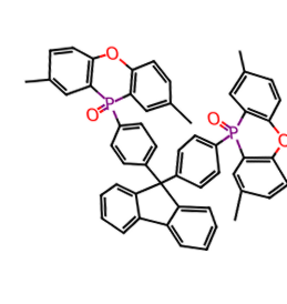 Cc1ccc2c(c1)P(=O)(c1ccc(C3(c4ccc(P5(=O)c6cc(C)ccc6Oc6ccc(C)cc65)cc4)c4ccccc4-c4ccccc43)cc1)c1cc(C)ccc1O2